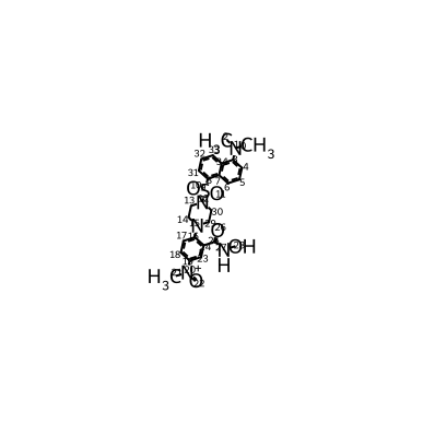 CN(C)c1cccc2c(S(=O)(=O)N3CCN(c4ccc([N+](C)=O)cc4C(=O)NO)CC3)cccc12